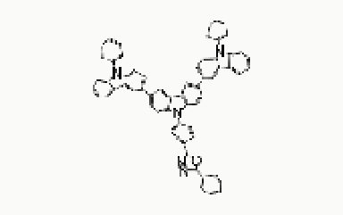 c1ccc(-c2nnc(-c3ccc(-n4c5ccc(-c6ccc7c(c6)c6ccccc6n7-c6ccccc6)cc5c5cc(-c6ccc7c(c6)c6ccccc6n7-c6ccccc6)ccc54)cc3)o2)cc1